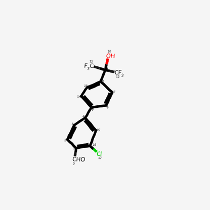 O=Cc1ccc(-c2ccc(C(O)(C(F)(F)F)C(F)(F)F)cc2)cc1Cl